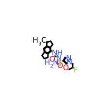 CC1CCc2c1cc1c(c2NC(=O)N=S(N)(=O)c2cnn3c2OCC(F)C3)CCC1